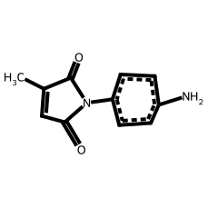 CC1=CC(=O)N(c2ccc(N)cc2)C1=O